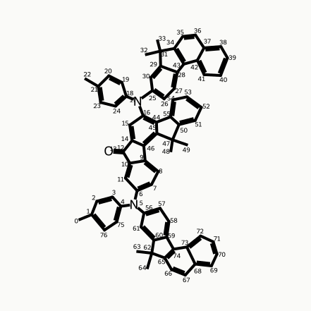 Cc1ccc(N(c2ccc3c(c2)C(=O)c2cc(N(c4ccc(C)cc4)c4ccc5c(c4)C(C)(C)c4ccc6ccccc6c4-5)c4c(c2-3)C(C)(C)c2ccccc2-4)c2ccc3c(c2)C(C)(C)c2ccc4ccccc4c2-3)cc1